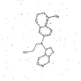 OCCN(c1ccc2c(O)cccc2c1)c1coc2cnccc12